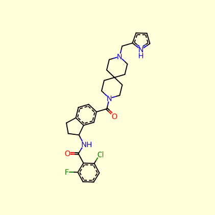 O=C(NC1CCc2ccc(C(=O)N3CCC4(CCN(Cc5ccc[nH]5)CC4)CC3)cc21)c1c(F)cccc1Cl